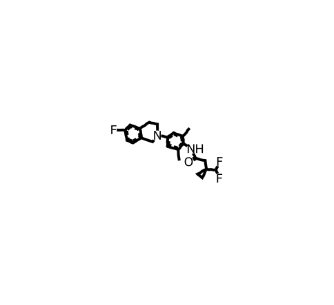 Cc1cc(N2CCc3cc(F)ccc3C2)cc(C)c1NC(=O)CC1(C(F)F)CC1